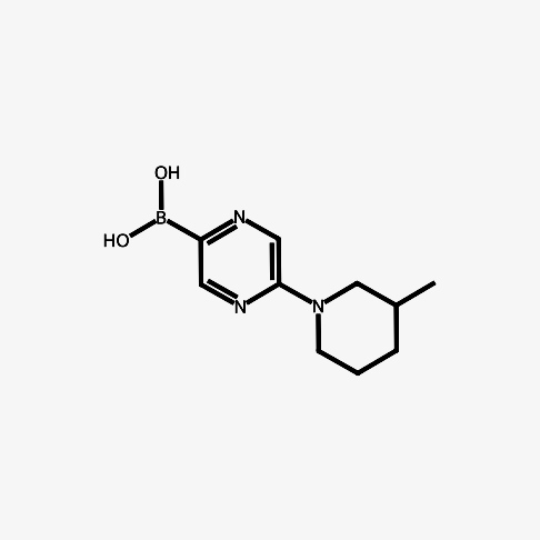 CC1CCCN(c2cnc(B(O)O)cn2)C1